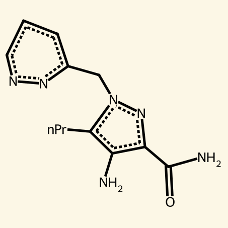 CCCc1c(N)c(C(N)=O)nn1Cc1cccnn1